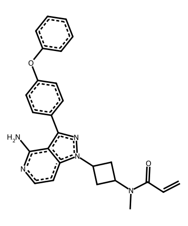 C=CC(=O)N(C)C1CC(n2nc(-c3ccc(Oc4ccccc4)cc3)c3c(N)nccc32)C1